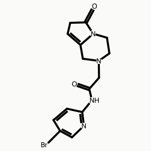 O=C(CN1CCN2C(=O)CC=C2C1)Nc1ccc(Br)cn1